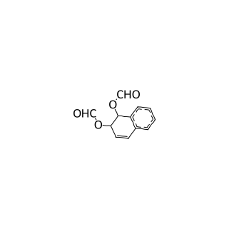 O=COC1C=Cc2ccccc2C1OC=O